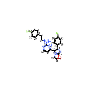 Fc1ccc(CCNc2nccc(-c3c(-c4ccc(F)cc4)nc4occn34)n2)cc1